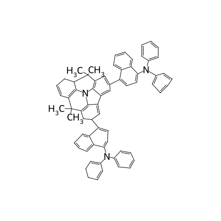 CC1(C)C2=C3C(CC=C2)C(C)(C)c2cc(-c4ccc(N(c5ccccc5)c5ccccc5)c5ccccc45)cc4c5c(n3c24)=C1CC(c1ccc(N(C2=CCCC=C2)c2ccccc2)c2ccccc12)C=5